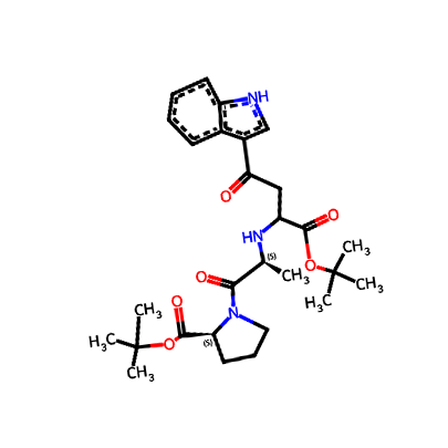 C[C@H](NC(CC(=O)c1c[nH]c2ccccc12)C(=O)OC(C)(C)C)C(=O)N1CCC[C@H]1C(=O)OC(C)(C)C